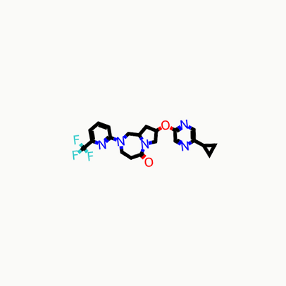 O=C1CCN(c2cccc(C(F)(F)F)n2)CC2CC(Oc3cnc(C4CC4)cn3)CN12